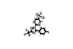 Cc1ccc(-c2nc(C(F)(F)F)nn2-c2ncc(S(C)(=O)=O)cn2)cc1